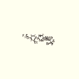 CCc1cc(OC(F)(F)F)ccc1-c1cnc(NNC(=O)C(F)(F)Br)cn1